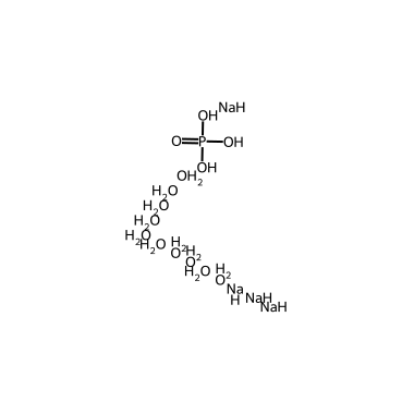 O.O.O.O.O.O.O.O.O.O.O=P(O)(O)O.[NaH].[NaH].[NaH].[NaH]